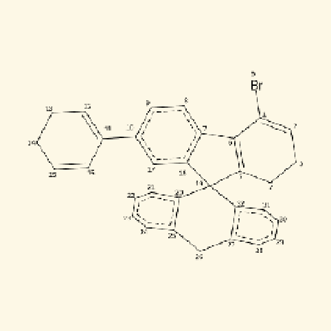 BrC1=CCCC2=C1c1ccc(C3=CCCC=C3)cc1C21c2ccccc2Cc2ccccc21